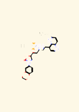 COc1ccc2nccc(CC[C@@H](CCC3CN(c4ccc5c(c4)OCCO5)C(=O)O3)NS(C)(=O)=O)c2n1